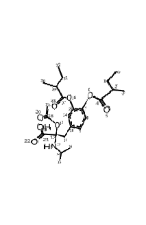 CCC(C)C(=O)Oc1ccc(C[C@](NC(C)C)(OC(C)=O)C(=O)O)cc1OC(=O)C(C)CC